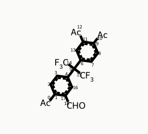 CC(=O)c1ccc(C(c2ccc(C(C)=O)c(C(C)=O)c2)(C(F)(F)F)C(F)(F)F)cc1C=O